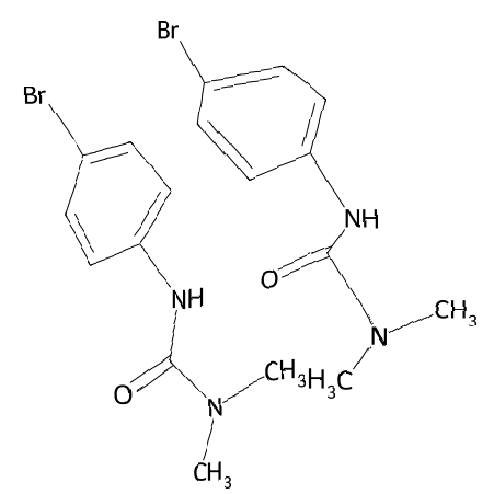 CN(C)C(=O)Nc1ccc(Br)cc1.CN(C)C(=O)Nc1ccc(Br)cc1